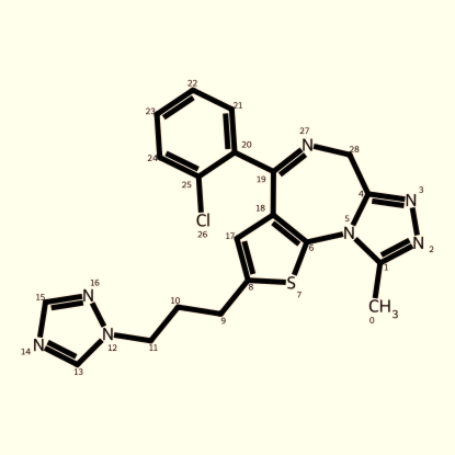 Cc1nnc2n1-c1sc(CCCn3cncn3)cc1C(c1ccccc1Cl)=NC2